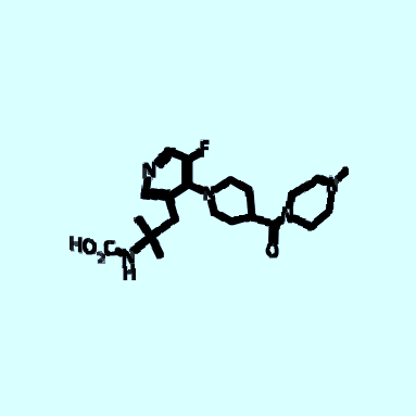 CN1CCN(C(=O)C2CCN(c3c(F)cncc3CC(C)(C)NC(=O)O)CC2)CC1